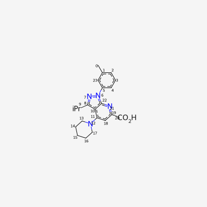 Cc1cccc(-n2nc(C(C)C)c3c(N4CCCCC4)cc(C(=O)O)nc32)c1